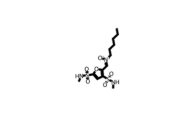 CCCCCC[N+]([O-])=Cc1oc(S(=O)(=O)NC)cc1S(=O)(=O)NC